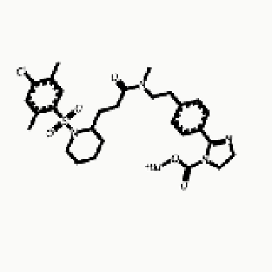 Cc1cc(S(=O)(=O)N2CCCCC2CCC(=O)N(C)CCc2ccc(C3=NCCN3C(=O)OC(C)(C)C)cc2)c(C)cc1Cl